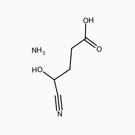 N.N#CC(O)CCC(=O)O